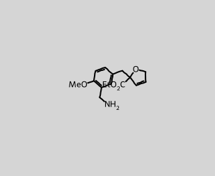 CCOC(=O)C1(Cc2ccc(OC)c(CN)c2)C=CCO1